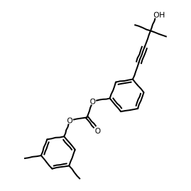 Cc1cc(C)cc(OC(=O)Oc2cccc(C#CC(C)(C)O)c2)c1